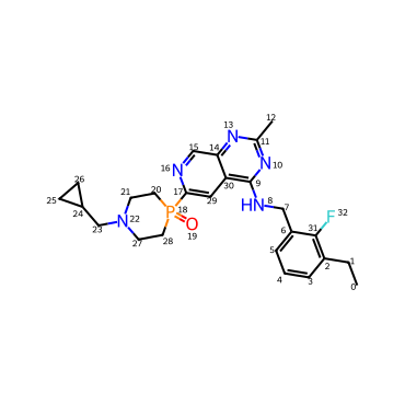 CCc1cccc(CNc2nc(C)nc3cnc(P4(=O)CCN(CC5CC5)CC4)cc23)c1F